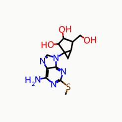 CSc1nc(N)c2ncn(C34CC3C(CO)C(O)C4O)c2n1